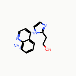 N.OCCc1ncc[nH]1.c1ccc2ncccc2c1